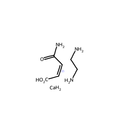 NC(=O)/C=C\C(=O)O.NCCN.[CaH2]